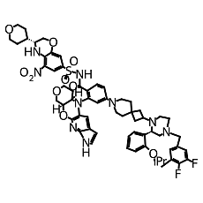 Cc1cc(CN2CCN(C3CC4(CCN(c5ccc(C(=O)NS(=O)(=O)c6cc7c(c([N+](=O)[O-])c6)N[C@H](C6CCOCC6)CO7)c(N6c7cc8cc[nH]c8nc7O[C@H]7COCC[C@@H]76)c5)CC4)C3)[C@H](c3ccccc3OC(C)C)C2)cc(F)c1F